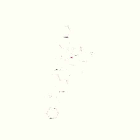 COC(=O)[C@@]12OC[C@]34C([C@@H](O)[C@@H]1O)[C@@]1(C)CC(=O)C(OC(=O)[C@@H](N)Cc5ccccc5)=C(C)[C@@H]1C[C@H]3OC(=O)[C@H](OC(=O)C=C(C)C)[C@@H]24